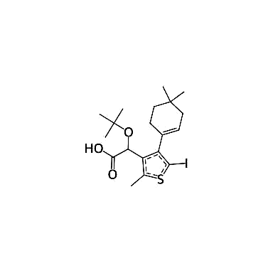 Cc1sc(I)c(C2=CCC(C)(C)CC2)c1C(OC(C)(C)C)C(=O)O